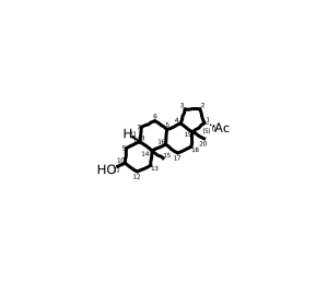 CC(=O)[C@H]1CCC2C3CC[C@H]4CC(O)CCC4(C)C3CCC21C